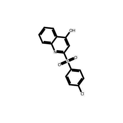 O=S(=O)(c1ccc(Cl)cc1)c1cc(O)c2ccccc2n1